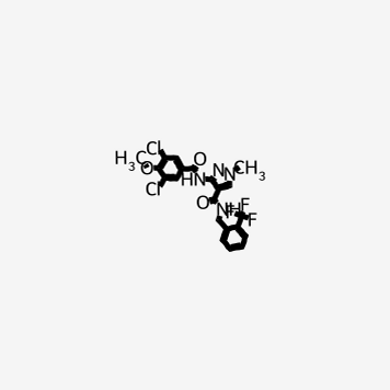 COc1c(Cl)cc(C(=O)Nc2nn(C)cc2C(=O)NCc2ccccc2C(F)(F)F)cc1Cl